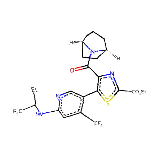 CCOC(=O)c1nc(C(=O)N2[C@H]3CC[C@@H]2CC3)c(-c2cnc(NC(CC)C(F)(F)F)cc2C(F)(F)F)s1